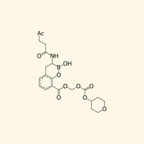 CC(=O)CCC(=O)NC1Cc2cccc(C(=O)OCOC(=O)OC3CCOCC3)c2OB1O